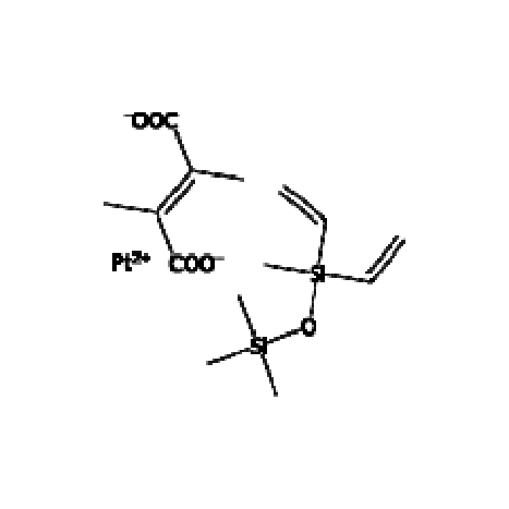 C/C(C(=O)[O-])=C(/C)C(=O)[O-].C=C[Si](C)(C=C)O[Si](C)(C)C.[Pt+2]